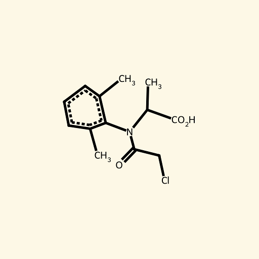 Cc1cccc(C)c1N(C(=O)CCl)C(C)C(=O)O